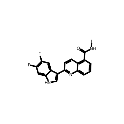 O=C(NI)c1cccc2nc(-c3c[nH]c4cc(F)c(F)cc34)ccc12